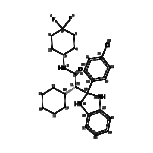 O=C(NC1CCC(F)(F)CC1)[C@@H](C1CCCCC1)C1(c2ccc(Cl)cc2)Nc2ccccc2N1